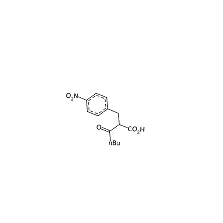 CCCCC(=O)C(Cc1ccc([N+](=O)[O-])cc1)C(=O)O